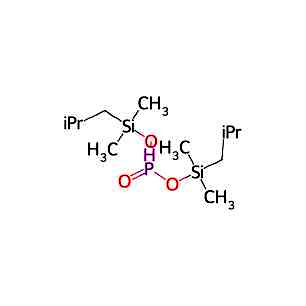 CC(C)C[Si](C)(C)O[PH](=O)O[Si](C)(C)CC(C)C